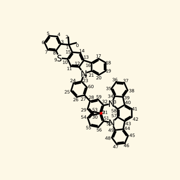 CC1(C)c2ccccc2Sc2cc3c(cc21)c1ccccc1n3-c1cccc(-c2cccc(-n3c4ccccc4c4ccc5c6ccccc6n(-c6ccccc6)c5c43)c2)c1